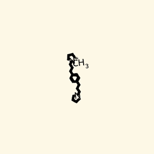 C[N+]1(CCCc2ccc(CCCN3CCCC3)cc2)CCCC1